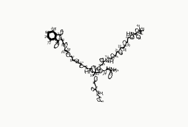 COCCNC(=O)CCOCC(COCCC(=O)NI)(COCCC(=O)NCCOCCOCCOCCONC(=O)OC(C)(C)C)NC(=O)CCOCCOCCOCCOCCN1C(=O)c2ccccc2C1=O